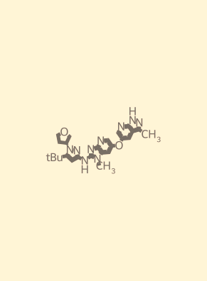 Cc1n[nH]c2ncc(Oc3cnc4nc(Nc5cc(C(C)(C)C)n([C@H]6CCOC6)n5)n(C)c4c3)cc12